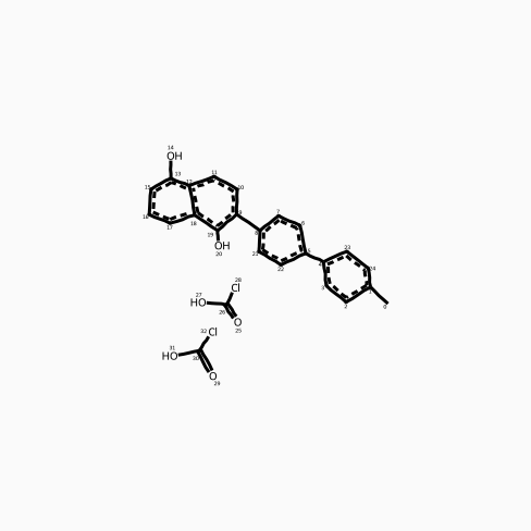 Cc1ccc(-c2ccc(-c3ccc4c(O)cccc4c3O)cc2)cc1.O=C(O)Cl.O=C(O)Cl